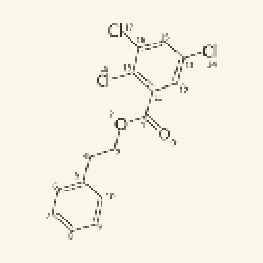 O=C(OCCc1ccccc1)c1[c]c(Cl)cc(Cl)c1Cl